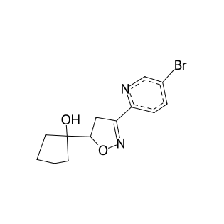 OC1(C2CC(c3ccc(Br)cn3)=NO2)CCCC1